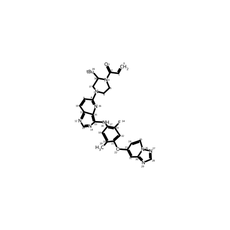 C=CC(=O)N1CCN(c2ccc3ncnc(Nc4cc(C)c(Oc5ccn6ncnc6c5)cc4F)c3n2)CC1C(C)(C)C